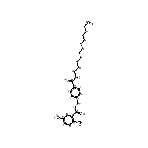 CCCCCCCCCCCCNC(=O)c1ccc(COC(=O)c2cc(O)ccc2O)cc1